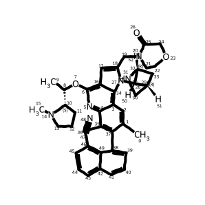 Cc1cc2c(nc(OC(C)[C@@H]3CCCN3C)c3cc(CN4CCOCC4=O)n([C@H]4[C@H]5CN[C@@H]4C5)c32)c(F)c1-c1cccc2cccc(C#N)c12